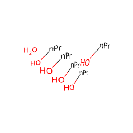 CCCO.CCCO.CCCO.CCCO.CCCO.O